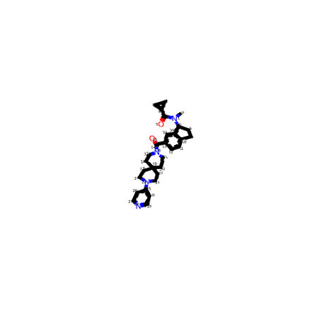 CN(C(=O)C1CC1)C1CCc2ccc(C(=O)N3CCC4(CC3)CCN(c3ccncc3)CC4)cc21